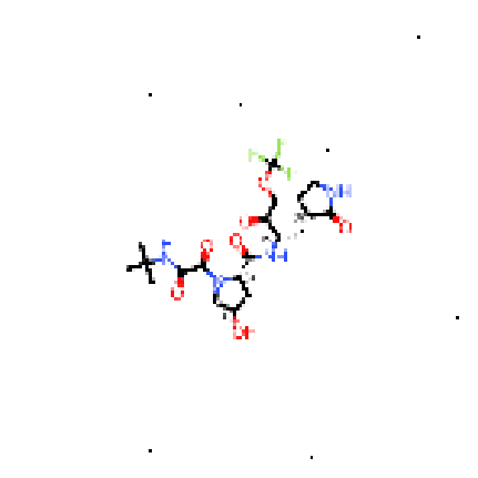 CC(C)(C)NC(=O)C(=O)N1C[C@H](O)C[C@H]1C(=O)N[C@@H](C[C@@H]1CCNC1=O)C(=O)COC(F)(F)F